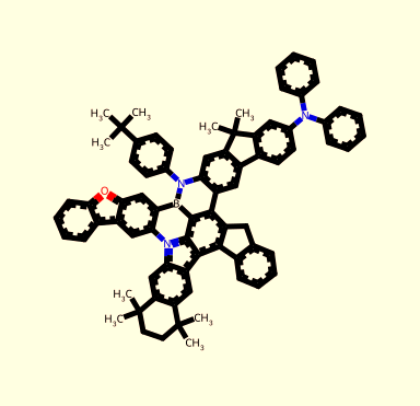 CC(C)(C)c1ccc(N2B3c4cc5oc6ccccc6c5cc4-n4c5cc6c(cc5c5c7c(c(c3c54)-c3cc4c(cc32)C(C)(C)c2cc(N(c3ccccc3)c3ccccc3)ccc2-4)Cc2ccccc2-7)C(C)(C)CCC6(C)C)cc1